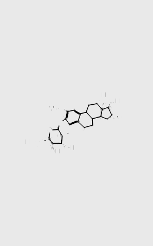 COc1cc2c(cc1OC1O[C@H](C(=O)O)[C@@H](O)[C@H](O)[C@H]1O)CCC1C2CC[C@@]2(C)C1C[C@@H](O)[C@@H]2O